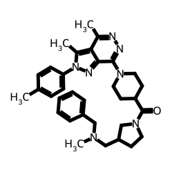 Cc1ccc(-n2nc3c(N4CCC(C(=O)N5CCC(CN(C)Cc6ccccc6)C5)CC4)nnc(C)c3c2C)cc1